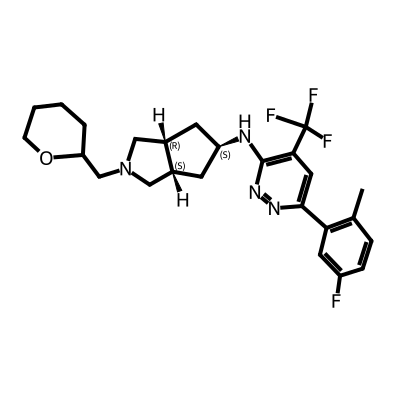 Cc1ccc(F)cc1-c1cc(C(F)(F)F)c(N[C@H]2C[C@@H]3CN(CC4CCCCO4)C[C@@H]3C2)nn1